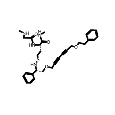 CNCC(=O)N[C@@H](CCSN[C@H](COCC#CC#CCOCCc1ccccc1)c1ccccc1)C(=O)NC